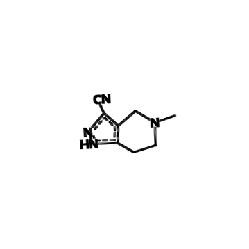 CN1CCc2[nH]nc(C#N)c2C1